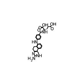 NC1=NC2=C(CN1)c1cccc(Nc3ccc(C(=O)N[C@@H](CCC(=O)O)C(=O)O)cc3)c1CC2